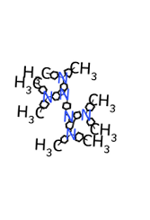 Cc1ccc(N(c2ccc(C)cc2)c2ccc3c(c2)c2cc(N(c4ccc(C)cc4)c4ccc(C)cc4)ccc2n3Cc2ccc(Cn3c4ccc(N(c5ccc(C)cc5)c5ccc(C)cc5)cc4c4cc(N(c5ccc(C)cc5)c5ccc(C)cc5)ccc43)cc2)cc1